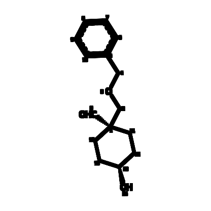 O=C[C@]1(COCc2ccccc2)CC[C@@H](O)CC1